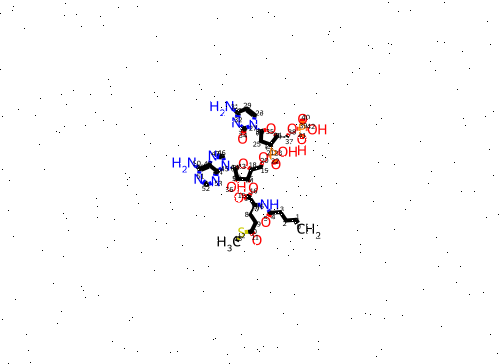 C=CCCC(=O)N[C@@H](CCC(=O)SC)C(=O)O[C@@H]1C(COP(=O)(O)[C@H]2C[C@H](n3ccc(N)nc3=O)O[C@@H]2COP(=O)(O)O)O[C@@H](n2cnc3c(N)ncnc32)[C@@H]1O